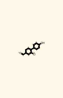 O=Cc1ccc(-c2ccc(O)cc2)c(Cl)c1